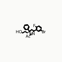 CC(=O)N1N=C(c2cc(Br)ccc2F)C[C@@]1(CCCO)c1ccccc1